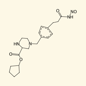 O=NNC(=O)CCc1ccc(CN2CCNC(C(=O)OC3CCCC3)C2)cc1